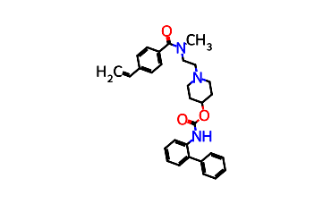 C=Cc1ccc(C(=O)N(C)CCN2CCC(OC(=O)Nc3ccccc3-c3ccccc3)CC2)cc1